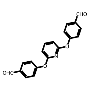 O=Cc1ccc(Oc2cccc(Oc3ccc(C=O)cc3)n2)cc1